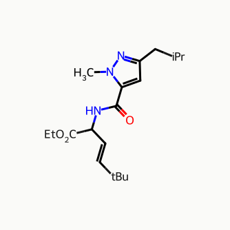 CCOC(=O)C(/C=C/C(C)(C)C)NC(=O)c1cc(CC(C)C)nn1C